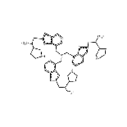 O=C(O)C(Cc1cc2cccc(CN(Cc3cccc4cc(CC(C(=O)O)C5CCNC5)oc34)Cc3cccc4cc(CC(C(=O)O)C5CCNC5)oc34)c2o1)C1CCNC1